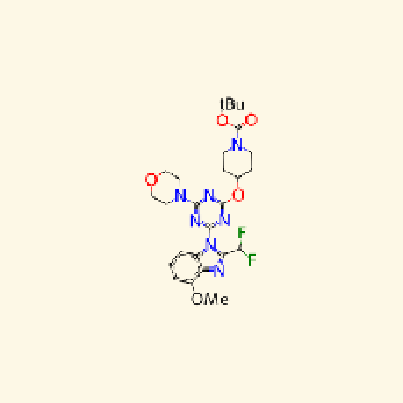 COc1cccc2c1nc(C(F)F)n2-c1nc(OC2CCN(C(=O)OC(C)(C)C)CC2)nc(N2CCOCC2)n1